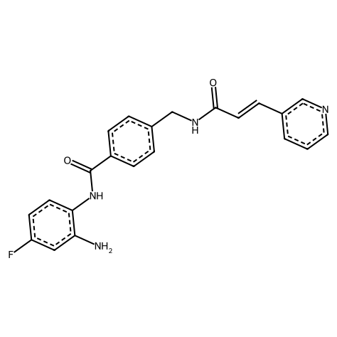 Nc1cc(F)ccc1NC(=O)c1ccc(CNC(=O)C=Cc2cccnc2)cc1